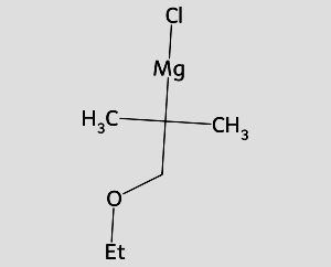 CCOC[C](C)(C)[Mg][Cl]